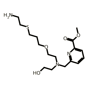 COC(=O)c1cccc(CN(CCO)CCOCCCSCCN)n1